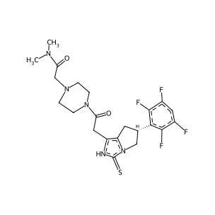 CN(C)C(=O)CN1CCN(C(=O)Cc2[nH]c(=S)n3c2C[C@H](c2c(F)c(F)cc(F)c2F)C3)CC1